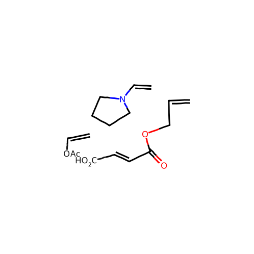 C=CCOC(=O)C=CC(=O)O.C=CN1CCCC1.C=COC(C)=O